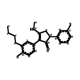 CCCCc1cc(C2=C(NC)CC(c3cccc(C)c3)C2=O)ccc1C